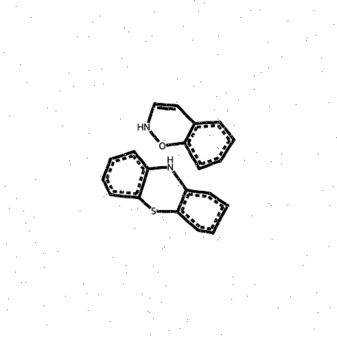 C1=Cc2ccccc2ON1.c1ccc2c(c1)Nc1ccccc1S2